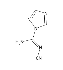 N#CN=C(N)n1cncn1